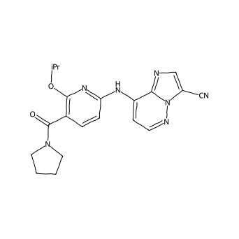 CC(C)Oc1nc(Nc2ccnn3c(C#N)cnc23)ccc1C(=O)N1CCCC1